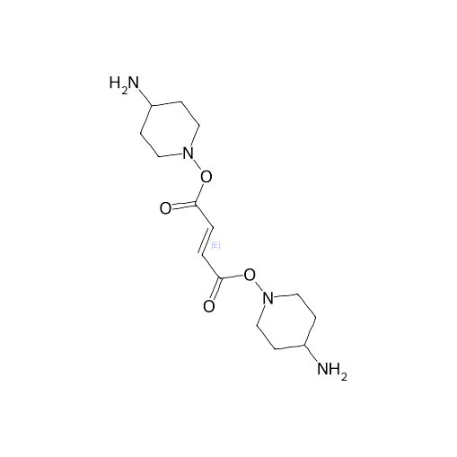 NC1CCN(OC(=O)/C=C/C(=O)ON2CCC(N)CC2)CC1